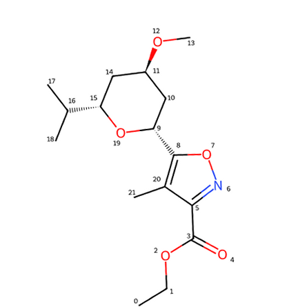 CCOC(=O)c1noc([C@H]2C[C@H](OC)C[C@@H](C(C)C)O2)c1C